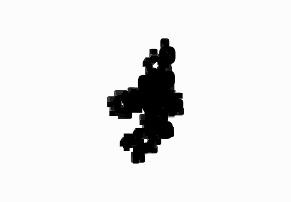 COc1cccc(S(=O)(=O)N(Cc2cccs2)C[C@@H](O)[C@H](Cc2ccccc2)NC(=O)[C@@H]2CN(c3ccc(F)c(F)c3)C(=O)O2)c1